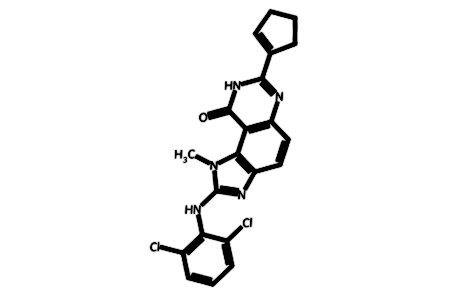 Cn1c(Nc2c(Cl)cccc2Cl)nc2ccc3nc(C4=CCCC4)[nH]c(=O)c3c21